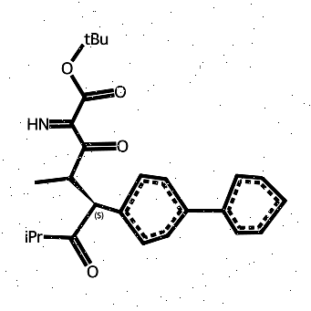 CC(C)C(=O)[C@H](c1ccc(-c2ccccc2)cc1)C(C)C(=O)C(=N)C(=O)OC(C)(C)C